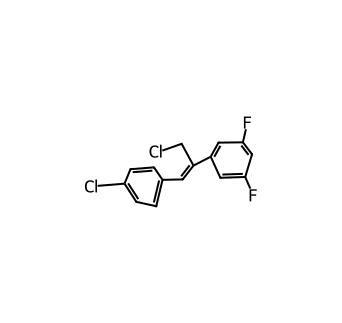 Fc1cc(F)cc(/C(=C/c2ccc(Cl)cc2)CCl)c1